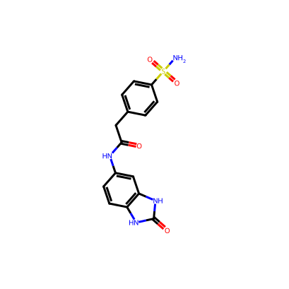 NS(=O)(=O)c1ccc(CC(=O)Nc2ccc3[nH]c(=O)[nH]c3c2)cc1